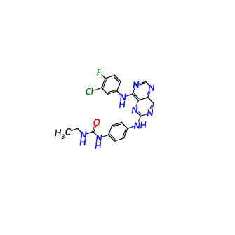 CCNC(=O)Nc1ccc(Nc2ncc3ncnc(Nc4ccc(F)c(Cl)c4)c3n2)cc1